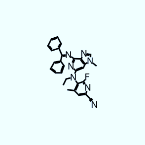 CCN(c1cc2c(ncn2C)c(N=C(c2ccccc2)c2ccccc2)n1)c1c(C)cc(C#N)nc1F